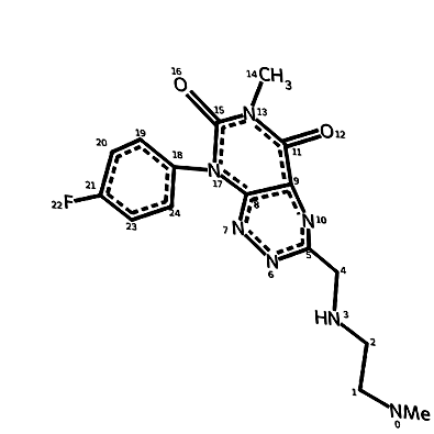 CNCCNCc1nnc2c(n1)c(=O)n(C)c(=O)n2-c1ccc(F)cc1